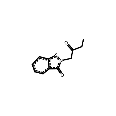 CCC(=O)Cn1sc2ccccc2c1=O